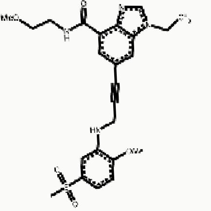 COCCNC(=O)c1cc(C#CCNc2cc(S(C)(=O)=O)ccc2OC)cc2c1ncn2CC(F)(F)F